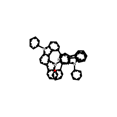 c1ccc(-c2nc(-c3ccccc3)nc(-c3cccc4c3c3c(ccc5c6ccccc6n(-c6ccc7c8ccccc8n(-c8ccccc8)c7c6)c53)n4-c3ccccc3)n2)cc1